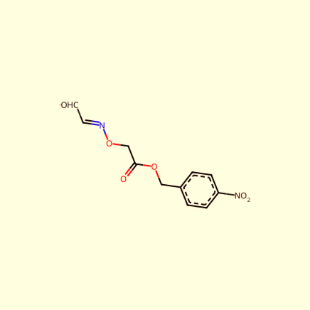 O=[C]C=NOCC(=O)OCc1ccc([N+](=O)[O-])cc1